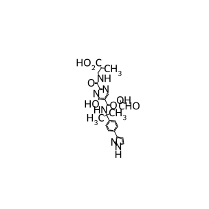 CC(CNC(=O)c1ncc(C(=O)NC(C)(C)c2ccc(-c3cc[nH]n3)cc2)c(O)n1)C(=O)O.O=CO